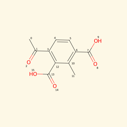 CC(=O)c1ccc(C(=O)O)c(C)c1C(=O)O